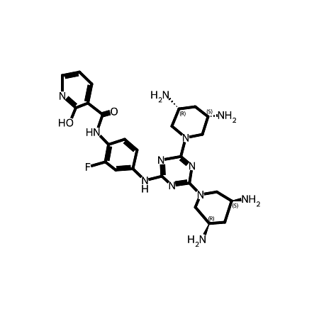 N[C@@H]1C[C@H](N)CN(c2nc(Nc3ccc(NC(=O)c4cccnc4O)c(F)c3)nc(N3C[C@H](N)C[C@H](N)C3)n2)C1